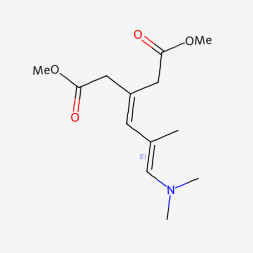 COC(=O)CC(=C/C(C)=C/N(C)C)CC(=O)OC